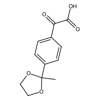 CC1(c2ccc(C(=O)C(=O)O)cc2)OCCO1